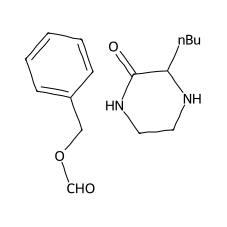 CCCCC1NCCNC1=O.O=COCc1ccccc1